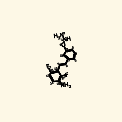 NNOc1cccc(C=Cc2c(F)ccc(N)c2F)c1